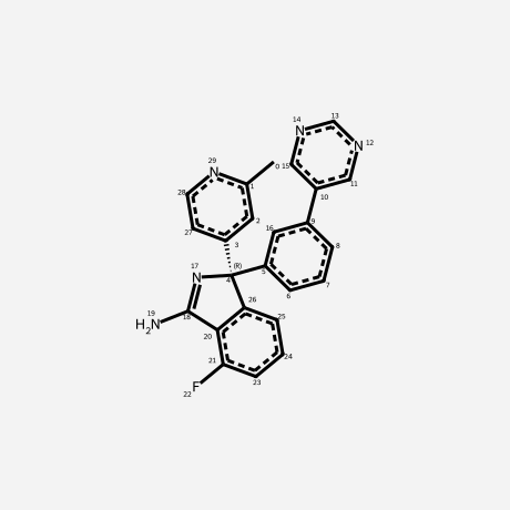 Cc1cc([C@@]2(c3cccc(-c4cncnc4)c3)N=C(N)c3c(F)cccc32)ccn1